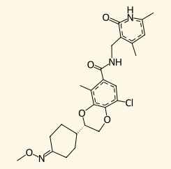 CON=C1CCC([C@H]2COc3c(Cl)cc(C(=O)NCc4c(C)cc(C)[nH]c4=O)c(C)c3O2)CC1